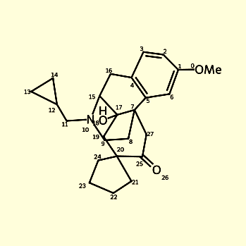 COc1ccc2c(c1)C13CCN(CC4CC4)C(C2)C1(O)CC1(CCCC1)C(=O)C3